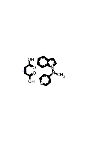 CN(c1ccncc1)n1ccc2ccccc21.O=C(O)/C=C\C(=O)O